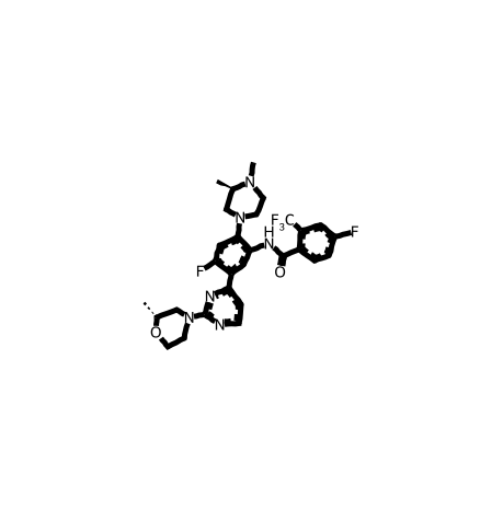 C[C@@H]1CN(c2nccc(-c3cc(NC(=O)c4ccc(F)cc4C(F)(F)F)c(N4CCN(C)[C@H](C)C4)cc3F)n2)CCO1